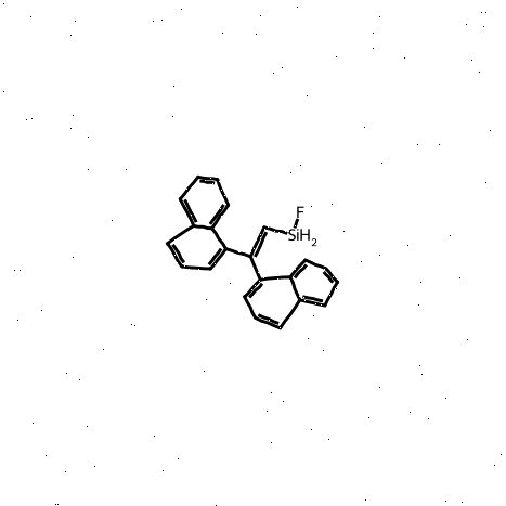 F[SiH2]C=C(c1cccc2ccccc12)c1cccc2ccccc12